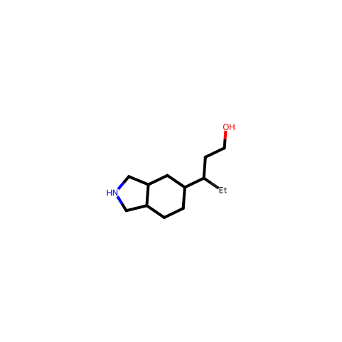 CCC(CCO)C1CCC2CNCC2C1